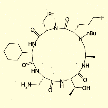 CCCCN1C[C@@H](C)NC(=O)[C@H]([C@H](C)O)NC(=O)[C@H](CN)NC(=O)C(C2CCCCC2)NC(=O)[C@H](CC(C)C)N(C)C(=O)[C@@H]1CCCF